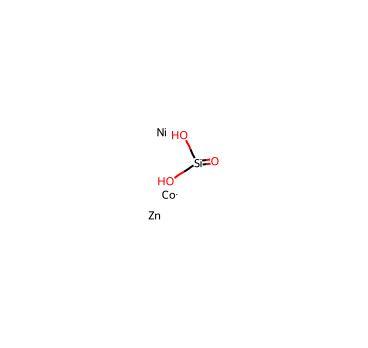 O=[Si](O)O.[Co].[Ni].[Zn]